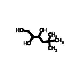 CC(C)(C)CC(O)C(O)CO